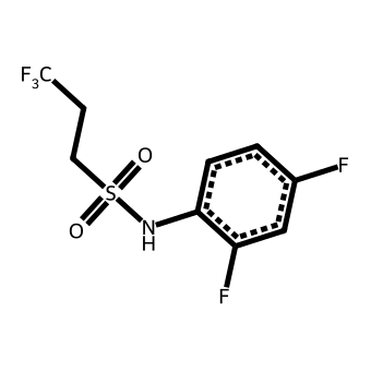 O=S(=O)(CCC(F)(F)F)Nc1ccc(F)cc1F